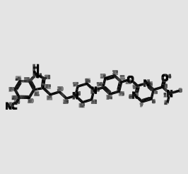 CN(C)C(=O)c1ccnc(Oc2ccc(N3CCN(CCCc4c[nH]c5ccc(C#N)cc45)CC3)cc2)n1